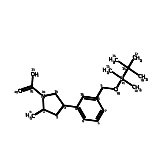 CC1CC(c2cccc(CO[Si](C)(C)C(C)(C)C)c2)CN1C(=O)O